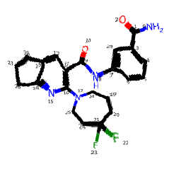 NC(=O)c1cccc(NC(=O)c2cc3c(nc2N2CCCC(F)(F)CC2)CCC3)c1